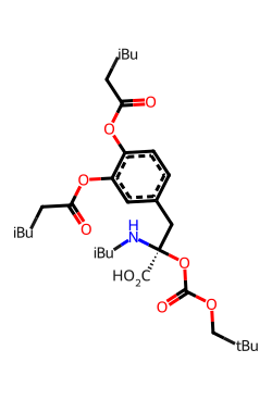 CCC(C)CC(=O)Oc1ccc(C[C@](NC(C)CC)(OC(=O)OCC(C)(C)C)C(=O)O)cc1OC(=O)CC(C)CC